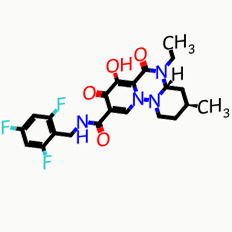 CCN1C(=O)c2c(O)c(=O)c(C(=O)NCc3c(F)cc(F)cc3F)cn2N2CC[C@H](C)C[C@@H]12